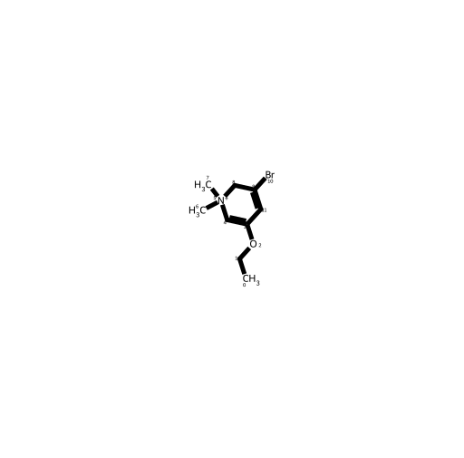 CCOC1=C[N+](C)(C)CC(Br)=C1